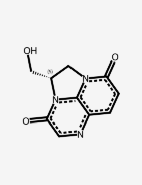 O=c1ccc2ncc(=O)n3c2n1C[C@H]3CO